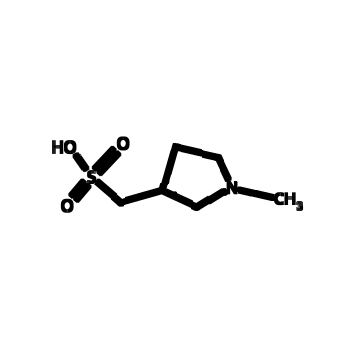 CN1CCC(CS(=O)(=O)O)C1